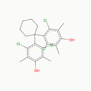 Cc1c(O)c(C)c(Cl)c(C2(c3c(Cl)c(C)c(O)c(C)c3Cl)CCCCC2)c1Cl